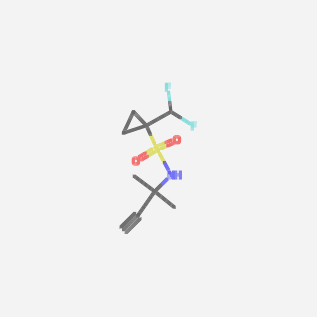 C#CC(C)(C)NS(=O)(=O)C1(C(F)F)CC1